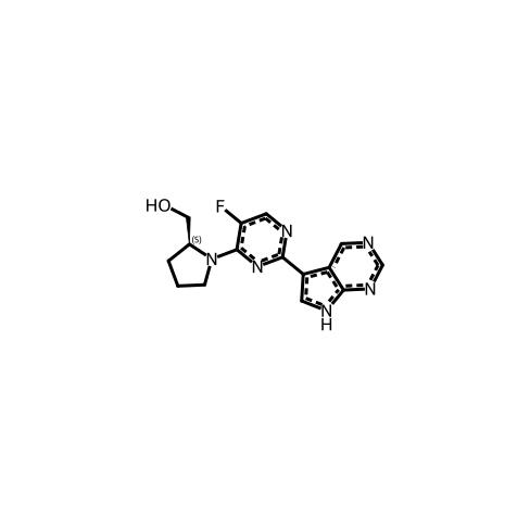 OC[C@@H]1CCCN1c1nc(-c2c[nH]c3ncncc23)ncc1F